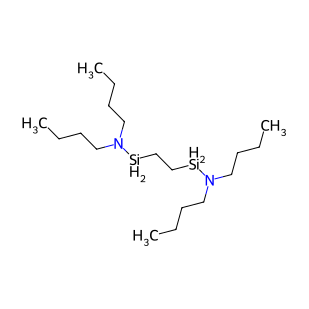 CCCCN(CCCC)[SiH2]CC[SiH2]N(CCCC)CCCC